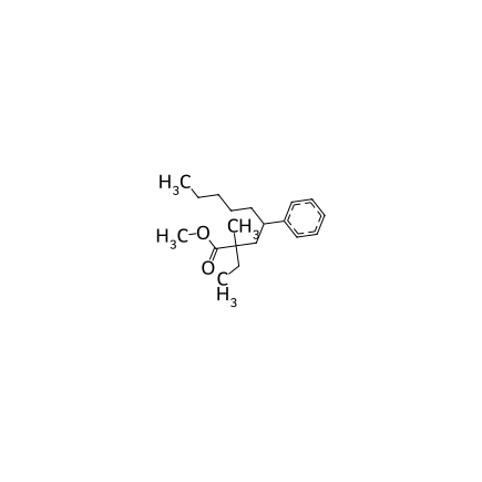 CCCCCC(CC(C)(CC)C(=O)OC)c1ccccc1